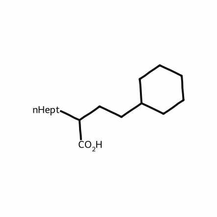 CCCCCCCC(CCC1CCCCC1)C(=O)O